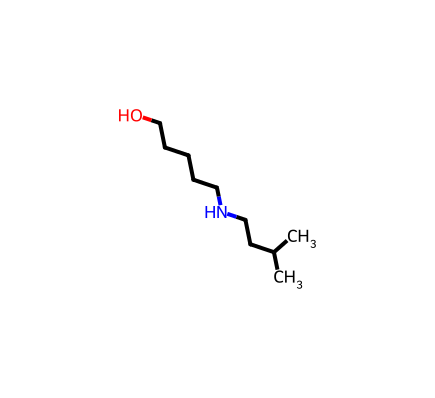 CC(C)CCNCCCCCO